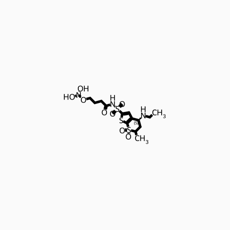 CCN[C@H]1CC(C)S(=O)(=O)c2sc(S(=O)(=O)NC(=O)CCCON(O)O)cc21